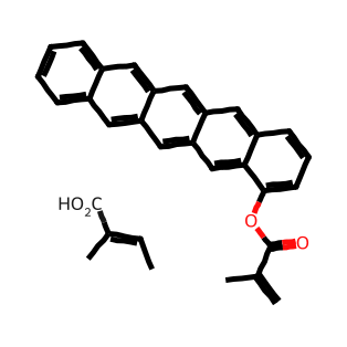 C=C(C)C(=O)Oc1cccc2cc3cc4cc5ccccc5cc4cc3cc12.CC=C(C)C(=O)O